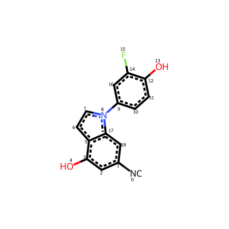 [C-]#[N+]c1cc(O)c2ccn(-c3ccc(O)c(F)c3)c2c1